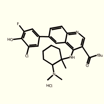 CN(C)C1CCCCC1(C)Nc1c(C(=O)C(C)(C)C)cnc2ccc(-c3cc(F)c(O)c(Cl)c3)cc12.Cl